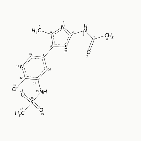 CC(=O)Nc1nc(C)c(-c2cnc(Cl)c(NS(C)(=O)=O)c2)s1